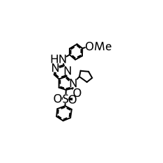 COc1ccc(Nc2ncc3cc(S(=O)(=O)c4ccccc4)c(=O)n(C4CCCC4)c3n2)cc1